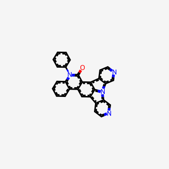 O=c1c2c(cc3c4ccncc4n4c5cnccc5c2c34)c2ccccc2n1-c1ccccc1